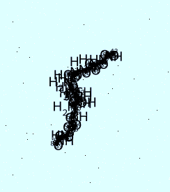 CSCC[C@H](NC(=O)[C@@H](N)CNC(=O)[C@H](CO)NC(=O)CCNC(=O)CCN1C(=O)CC(SCC(=O)NCC(=O)NCC(C)=O)C1=O)C(=O)NC(CS)C(=O)N[C@@H](CO)C(=O)N[C@H](CCCCNC(=O)CCN1C(=O)CC(SCC(=O)NCC(=O)NCC(C)=O)C1=O)C(N)=O